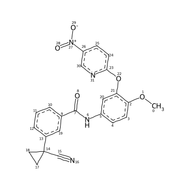 COc1ccc(NC(=O)c2cccc(C3(C#N)CC3)c2)cc1Oc1ccc([N+](=O)[O-])cn1